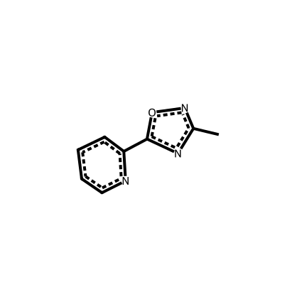 Cc1noc(-c2ccccn2)n1